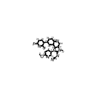 COc1ccc(-n2c(=NC#N)n(C)c3cnc4ccc(-c5ccc(F)nc5F)cc4c32)cn1